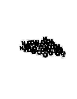 CC1(C)CC(OC(=O)c2ccc(-c3cccc(C(=O)OC4CC(C)(C)NC(C)(C)C4)c3C(=O)OC3CC(C)(C)NC(C)(C)C3)cc2)CC(C)(C)N1